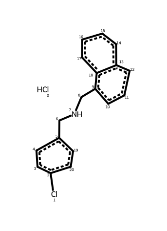 Cl.Clc1ccc(CNCc2cccc3ccccc23)cc1